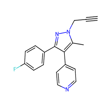 C#CCn1nc(-c2ccc(F)cc2)c(-c2ccncc2)c1C